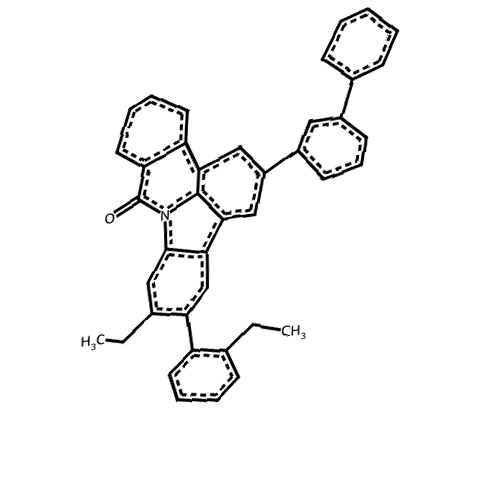 CCc1ccccc1-c1cc2c3cc(-c4cccc(-c5ccccc5)c4)cc4c5ccccc5c(=O)n(c2cc1CC)c43